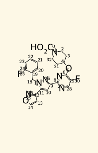 O=C(O)N1CCC(Oc2nc(-c3cc(-c4ccon4)n(Cc4ccccc4F)n3)ncc2F)CC1